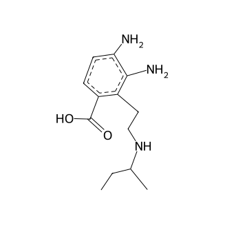 CCC(C)NCCc1c(C(=O)O)ccc(N)c1N